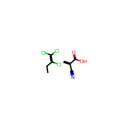 C=C(C#N)C(=O)O.CCC(Cl)=C(Cl)Cl